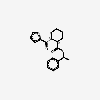 CC(OC(=O)[C@@H]1CCCC[C@H]1C(=O)c1cccs1)c1ccccc1